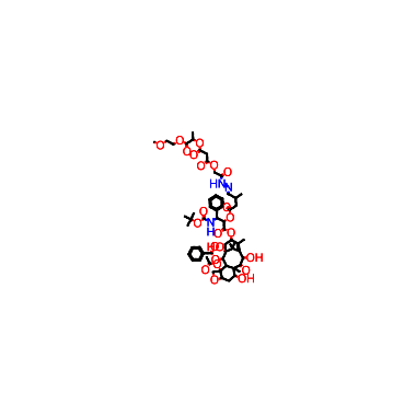 COCCOC(=O)C(C)OC(=O)CC(=O)OCC(=O)NN=CC(C)CC(=O)OC(C(=O)OC1CC2(O)C(OC(=O)c3ccccc3)C3C4(OC(C)=O)COC4CC(O)C3(C)C(=O)C(O)C(=C1C)C2(C)C)C(NC(=O)OC(C)(C)C)c1ccccc1